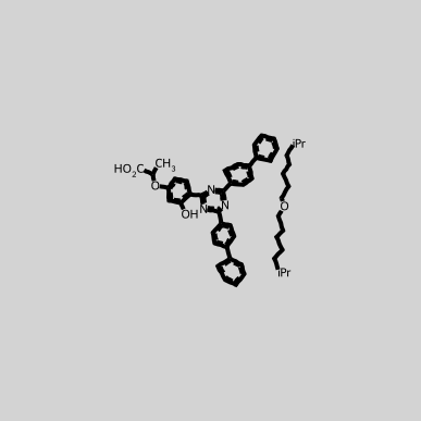 CC(C)CCCCCOCCCCCC(C)C.CC(Oc1ccc(-c2nc(-c3ccc(-c4ccccc4)cc3)nc(-c3ccc(-c4ccccc4)cc3)n2)c(O)c1)C(=O)O